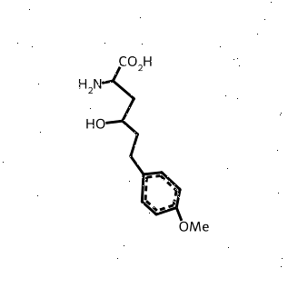 COc1ccc(CCC(O)CC(N)C(=O)O)cc1